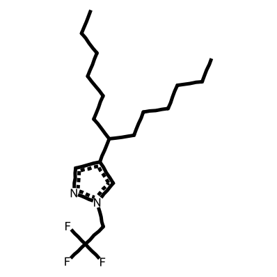 CCCCCCC(CCCCCC)c1cnn(CC(F)(F)F)c1